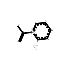 C=C(C)[n+]1ccccc1.[Cl-]